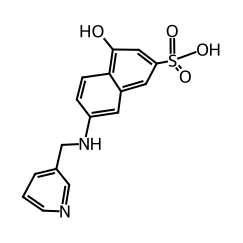 O=S(=O)(O)c1cc(O)c2ccc(NCc3cccnc3)cc2c1